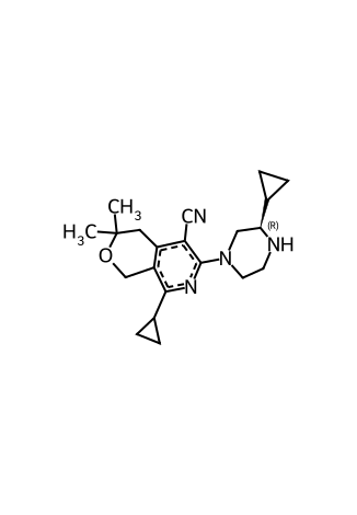 CC1(C)Cc2c(C#N)c(N3CCN[C@H](C4CC4)C3)nc(C3CC3)c2CO1